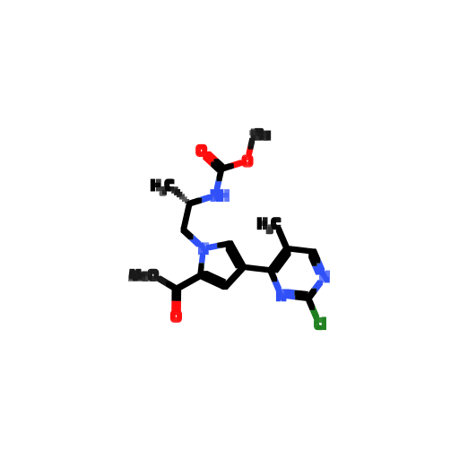 COC(=O)c1cc(-c2nc(Cl)ncc2C)cn1C[C@H](C)NC(=O)OC(C)(C)C